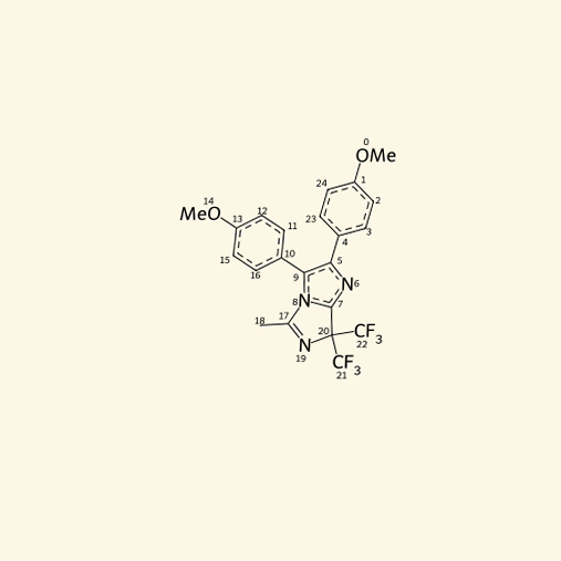 COc1ccc(-c2nc3n(c2-c2ccc(OC)cc2)C(C)=NC3(C(F)(F)F)C(F)(F)F)cc1